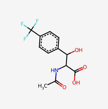 CC(=O)NC(C(=O)O)C(O)c1ccc(C(F)(F)F)cc1